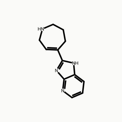 C1=C(c2nc3ncccc3[nH]2)CCCNC1